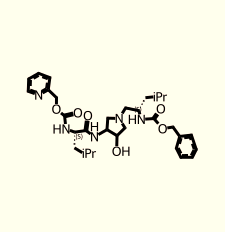 CC(C)C[C@@H](CN1CC(O)C(NC(=O)[C@H](CC(C)C)NC(=O)OCc2ccccn2)C1)NC(=O)OCc1ccccc1